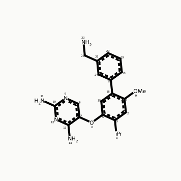 COc1cc(C(C)C)c(Oc2cnc(N)nc2N)cc1-c1cccc(CN)c1